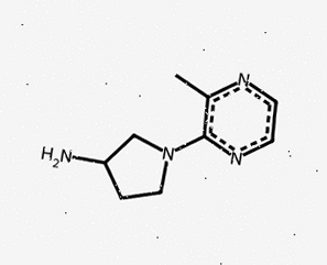 Cc1nccnc1N1CCC(N)C1